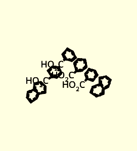 O=C(O)c1ccccc1.O=C(O)c1ccccc1.O=C(O)c1ccccc1.O=C(O)c1ccccc1.c1ccc2ccccc2c1.c1ccc2ccccc2c1